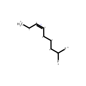 CC/C=C\CCCC(F)F